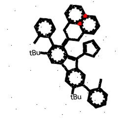 Cc1ccccc1-c1cc2c(cc1C(C)(C)C)-c1cc(C(C)(C)C)c(-c3ccccc3C)c(=C(Cc3ccccc3)Cc3ccccc3)c1=C2C1=CC=CC1